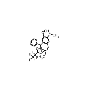 CCC1(CC(O)C(F)(F)C(F)(F)F)CSc2cc(OC)c(OC)cc2C(c2ccccc2)N1